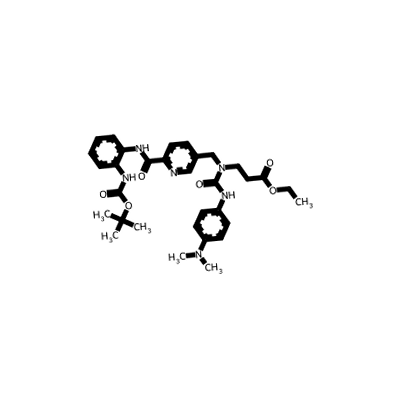 CCOC(=O)CCN(Cc1ccc(C(=O)Nc2ccccc2NC(=O)OC(C)(C)C)nc1)C(=O)Nc1ccc(N(C)C)cc1